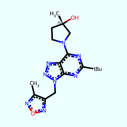 Cc1nonc1Cn1nnc2c(N3CC[C@](C)(O)C3)nc(C(C)(C)C)nc21